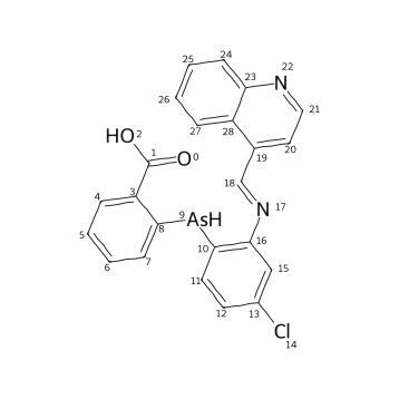 O=C(O)c1ccccc1[AsH]c1ccc(Cl)cc1N=Cc1ccnc2ccccc12